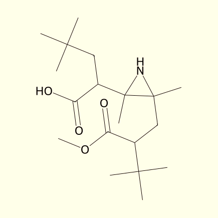 COC(=O)C(CC1(C)NC1(C)C(CC(C)(C)C)C(=O)O)C(C)(C)C